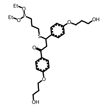 CCOP(CCCSC(CC(=O)c1ccc(OCCCO)cc1)c1ccc(OCCCO)cc1)OCC